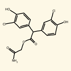 NC(=O)COC(=O)C(c1ccc(O)c(Cl)c1)c1ccc(O)c(Cl)c1